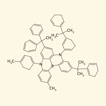 CC1=CC=C(N2c3ccc(C)cc3B3c4ccc(C(C)(C)C5=CCCC=C5)cc4N(C4=CCCC(C(C)(C)C5=CCCC=C5)=C4)c4cc(C(C)(c5ccccc5)c5ccccc5)cc2c43)CC1